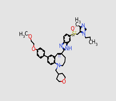 CCCn1cnc(C)c1C[S@@+]([O-])c1ccc2nc(/C3=C/c4cc(-c5ccc(OCCOC)cc5)ccc4N(CC4CCOCC4)CCC3)[nH]c2c1